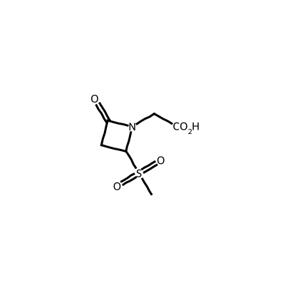 CS(=O)(=O)C1CC(=O)N1CC(=O)O